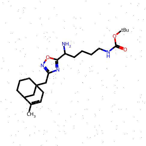 CC1=CCC2(Cc3noc(C(N)CCCCNC(=O)OC(C)(C)C)n3)CCCC1C2